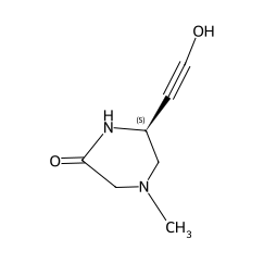 CN1CC(=O)N[C@@H](C#CO)C1